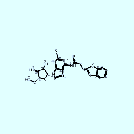 CC(C)C(CSc1nc2ccccc2s1)Nc1nc(Cl)nc2c1ncn2[C@@H]1O[C@H](CO)C(O)C1O